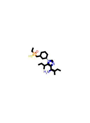 CC/C(C)=C(/N)c1ncn([C@H]2CCCC(CP(=O)(S)CC)C2)c1C(C)CC